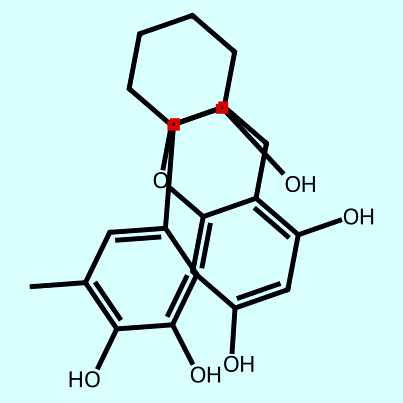 Cc1cc(C2C(O)C34CCCCC23Oc2cc(O)cc(O)c2C4)cc(O)c1O